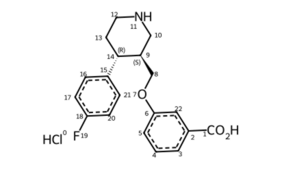 Cl.O=C(O)c1cccc(OC[C@@H]2CNCC[C@H]2c2ccc(F)cc2)c1